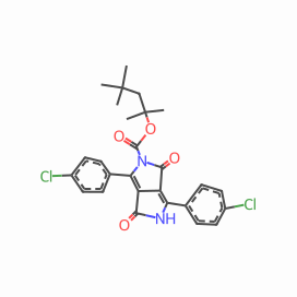 CC(C)(C)CC(C)(C)OC(=O)N1C(=O)C2=C(c3ccc(Cl)cc3)NC(=O)C2=C1c1ccc(Cl)cc1